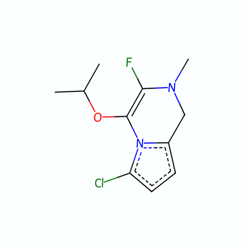 CC(C)OC1=C(F)N(C)Cc2ccc(Cl)n21